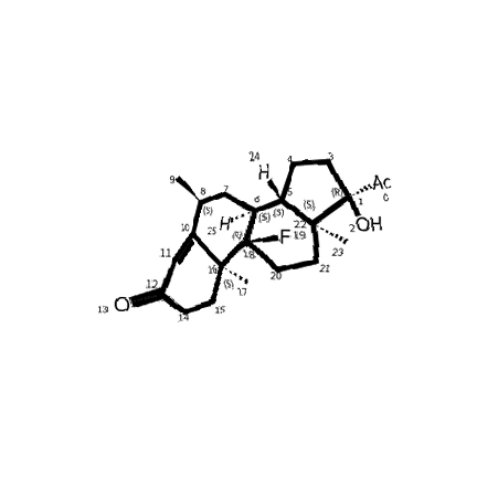 CC(=O)[C@@]1(O)CC[C@H]2[C@@H]3C[C@H](C)C4=CC(=O)CC[C@]4(C)[C@@]3(F)CC[C@@]21C